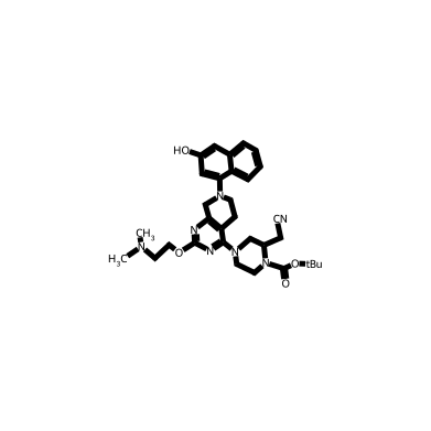 CN(C)CCOc1nc2c(c(N3CCN(C(=O)OC(C)(C)C)C(CC#N)C3)n1)CCN(c1cc(O)cc3ccccc13)C2